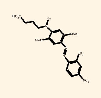 CCOC(=O)CCCN(CC)c1cc(OC)c(N=Nc2ccc([N+](=O)[O-])cc2C(F)(F)F)cc1OC